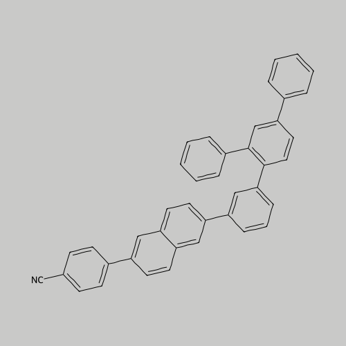 N#Cc1ccc(-c2ccc3cc(-c4cccc(-c5ccc(-c6ccccc6)cc5-c5ccccc5)c4)ccc3c2)cc1